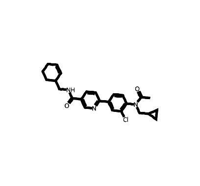 CC(=O)N(CC1CC1)c1ccc(-c2ccc(C(=O)NCC3C=CCCC3)cn2)cc1Cl